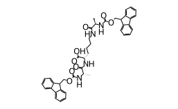 C[C@H](NC(=O)OCC1c2ccccc2-c2ccccc21)C(=O)N[C@@H](CCCCNC(=O)[C@@H](C)NC(=O)OCC1c2ccccc2-c2ccccc21)C(=O)O